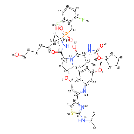 COc1ccc2c(O[C@@H]3C[C@@H](C(=O)N[C@]4(P(=O)(O)Cc5c(F)cccc5F)C[C@H]4CCCCC=O)N(C(=O)C(NC(=O)OC4CCCC4)C(C)C)C3)cc(-c3csc(NC(C)C)n3)nc2c1